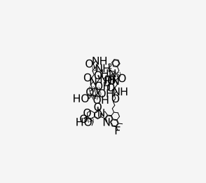 CC[C@@]1(O)C(=O)OCc2c1cc1n(c2=O)Cc2c-1nc1cc(F)c(C)c3c1c2C(CCCOCNC(=O)CNC(=O)[C@H](Cc1ccccc1)NC(=O)CNC(=O)CN(C[C@@H]1O[C@H](CO)[C@@H](O)[C@H](O)[C@H]1O)C(=O)CC[C@H](N)C(N)=O)CC3